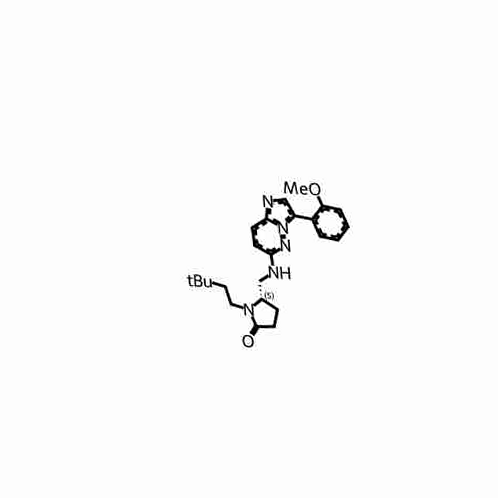 COc1ccccc1-c1cnc2ccc(NC[C@@H]3CCC(=O)N3CCC(C)(C)C)nn12